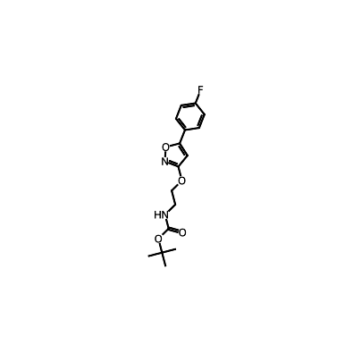 CC(C)(C)OC(=O)NCCOc1cc(-c2ccc(F)cc2)on1